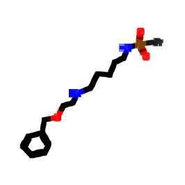 CC(C)S(=O)(=O)NCCCCCNCCOCc1ccccc1